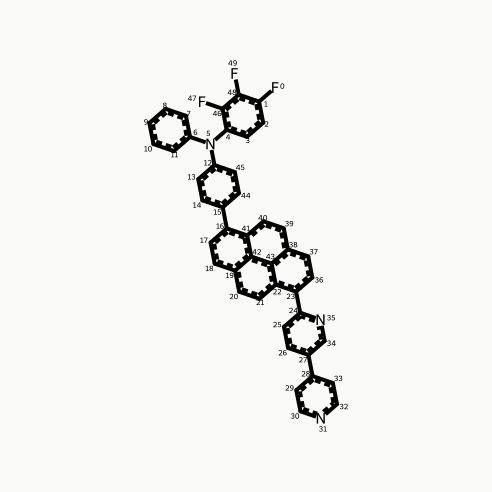 Fc1ccc(N(c2ccccc2)c2ccc(-c3ccc4ccc5c(-c6ccc(-c7ccncc7)cn6)ccc6ccc3c4c65)cc2)c(F)c1F